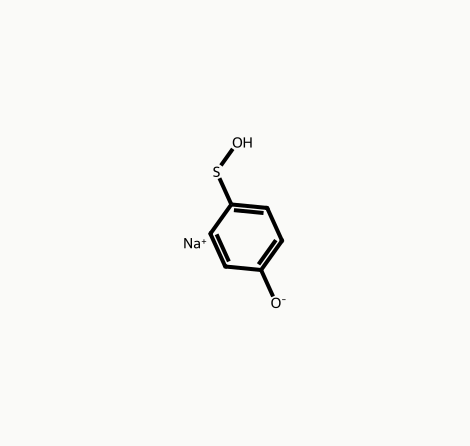 [Na+].[O-]c1ccc(SO)cc1